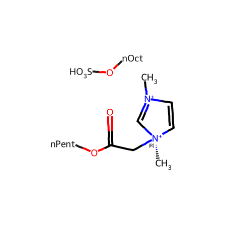 CCCCCCCCOS(=O)(=O)O.CCCCCOC(=O)C[N@+]1(C)C=C[N+](C)=C1